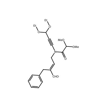 CCOC(C#CN(C/C=C(/[C]=O)Cc1ccccc1)C(=O)C(OC)OC)OCC